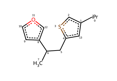 CC(C)c1csc(CC(C)c2ccoc2)c1